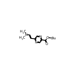 CN(C)C=Cc1cnc(C(=O)OC(C)(C)C)cn1